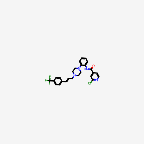 O=C(Nc1ccccc1N1CCN(CC=Cc2ccc(C(F)(F)F)cc2)CC1)c1ccnc(Cl)c1